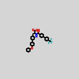 O=C(N[C@@H](Cc1ccc(-c2ccc(Oc3ccccc3)cc2)cc1)C(=O)O)c1ccc(-c2ccc(C(F)(F)F)cc2)cc1